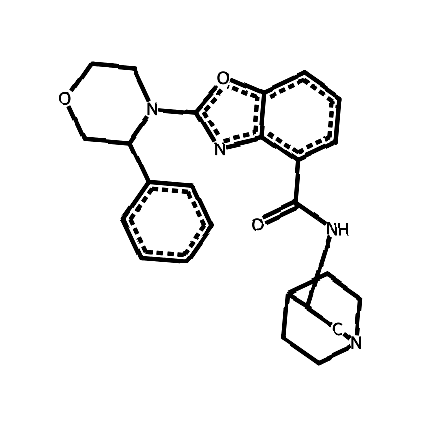 O=C(NC1CN2CCC1CC2)c1cccc2oc(N3CCOCC3c3ccccc3)nc12